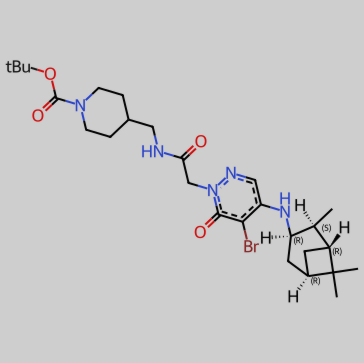 C[C@H]1[C@H]2C[C@H](C[C@H]1Nc1cnn(CC(=O)NCC3CCN(C(=O)OC(C)(C)C)CC3)c(=O)c1Br)C2(C)C